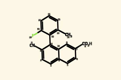 [C-]#[N+]c1ccc2ccc(C(=O)O)cc2c1-c1c(C)cccc1F